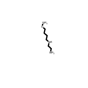 NCCNCCCCO[SiH3]